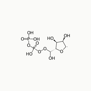 O=P(O)(O)OP(=O)(O)OOC(O)[C@H]1O[CH][C@H](O)[C@@H]1O